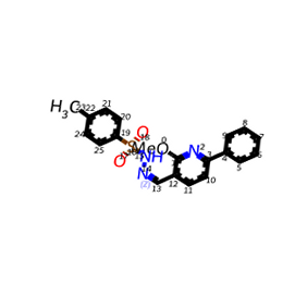 COc1nc(-c2ccccc2)ccc1/C=N\NS(=O)(=O)c1ccc(C)cc1